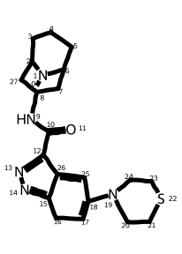 CN1C2CCCC1CC(NC(=O)C1=NN=C3CC=C(N4CCSCC4)C=C31)C2